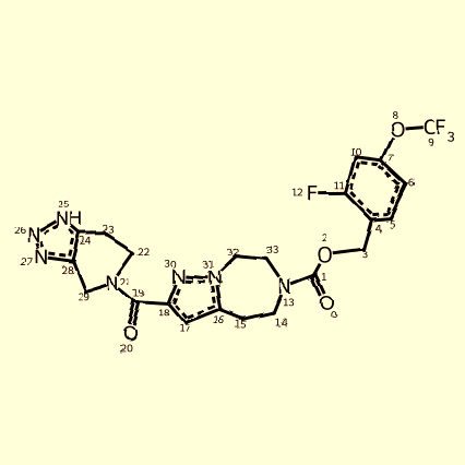 O=C(OCc1ccc(OC(F)(F)F)cc1F)N1CCc2cc(C(=O)N3CCc4[nH]nnc4C3)nn2CC1